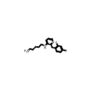 NCCCCCNc1cccnc1Cc1ccc(F)cc1F